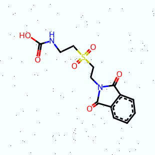 O=C(O)NCCS(=O)(=O)CCN1C(=O)c2ccccc2C1=O